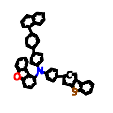 c1ccc2c(-c3ccc(-c4ccc(N(c5ccc(-c6ccc7c(c6)sc6ccccc67)cc5)c5cccc6oc7ccccc7c56)cc4)cc3)cccc2c1